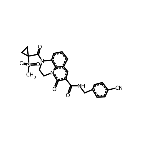 CS(=O)(=O)C1(C(=O)N2CCn3c(=O)c(C(=O)NCc4ccc(C#N)cc4)cc4cccc2c43)CC1